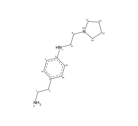 NCCc1ccc(NCCN2CCCC2)cc1